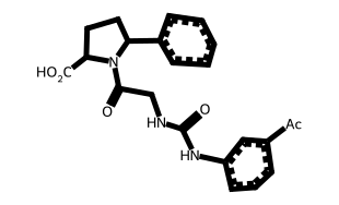 CC(=O)c1cccc(NC(=O)NCC(=O)N2C(C(=O)O)CCC2c2ccccc2)c1